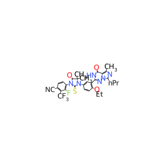 CCCc1nc(C)c2c(=O)[nH]c(-c3cc(N4C(=S)N(c5ccc(C#N)c(C(F)(F)F)c5F)C(=O)C4(C)C)ccc3OCC)nn12